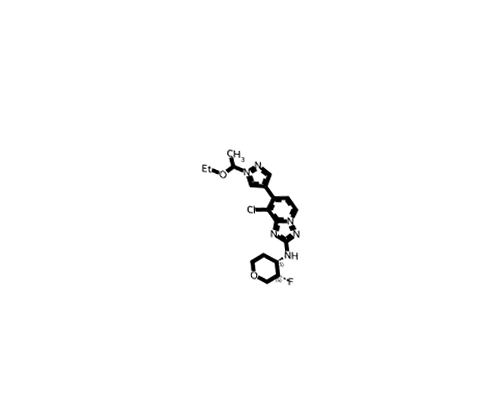 CCOC(C)n1cc(-c2ccn3nc(N[C@H]4CCOC[C@H]4F)nc3c2Cl)cn1